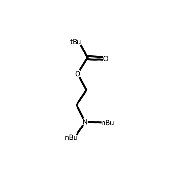 CCCCN(CCCC)CCOC(=O)C(C)(C)C